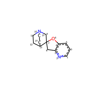 c1cnc2c(c1)OC1(C2)CN2CCC1CC2